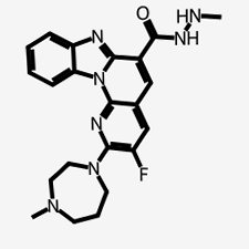 CNNC(=O)c1cc2cc(F)c(N3CCCN(C)CC3)nc2n2c1nc1ccccc12